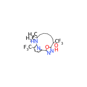 CC1(C)CCCCCC(O)(C(F)(F)F)c2nnc(o2)-c2ccc(C(F)(F)F)c(n2)N1